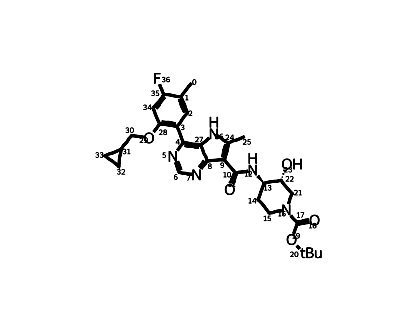 Cc1cc(-c2ncnc3c(C(=O)N[C@@H]4CCN(C(=O)OC(C)(C)C)C[C@H]4O)c(C)[nH]c23)c(OCC2CC2)cc1F